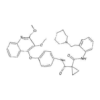 COc1nc2ccccc2c(Oc2ccc(NC(=O)C3(C(=O)Nc4ccccc4CN4CCCCC4)CC3)cc2)c1OC